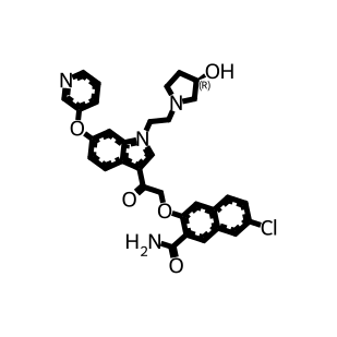 NC(=O)c1cc2cc(Cl)ccc2cc1OCC(=O)c1cn(CCN2CC[C@@H](O)C2)c2cc(Oc3cccnc3)ccc12